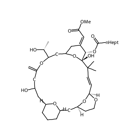 C=C1CC(O)C[C@@H]2CCC[C@H](C[C@@H]3CCO[C@H](/C=C/C(C)(C)[C@]4(O)OC(C/C(=C\C(=O)OC)[C@@H]4OC(=O)CCCCCCC)CC([C@@H](C)O)O1)O3)O2